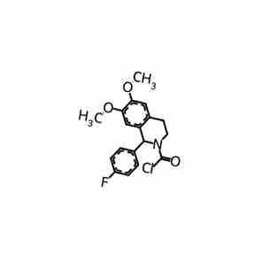 COc1cc2c(cc1OC)C(c1ccc(F)cc1)N(C(=O)Cl)CC2